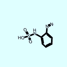 [N]=Nc1ccccc1NS(=O)(=O)O